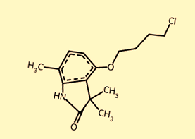 Cc1ccc(OCCCCCl)c2c1NC(=O)C2(C)C